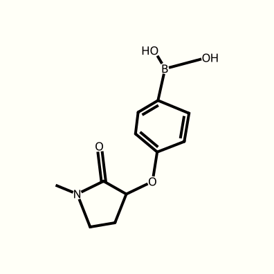 CN1CCC(Oc2ccc(B(O)O)cc2)C1=O